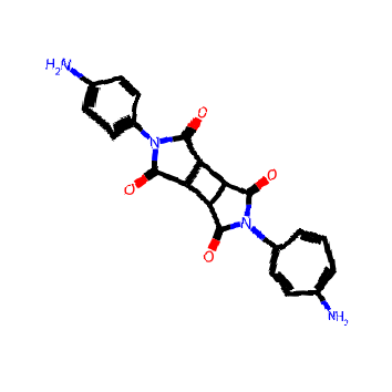 NC1=CC=CC(N2C(=O)C3C4C(=O)N(c5ccc(N)cc5)C(=O)C4C3C2=O)C=C1